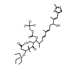 CC[Si](CC)(CC)OC(CC(=O)O)C(C)(C)C(=O)C(C)C(OC(=O)OCC(Cl)(Cl)Cl)C(C)C/C=C/C(C)=C/CC(O)/C(C)=C/c1csc(C)n1